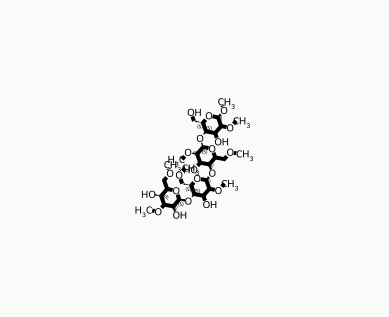 COCC1O[C@@H](O[C@H]2C(O)C(OC)[C@H](O[C@@H]3C(COC)O[C@@H](O[C@H]4C(O)C(OC)[C@H](OC)O[C@H]4CO)[C@@H](OC)C3O)O[C@H]2COC)[C@@H](O)C(OC)[C@@H]1O